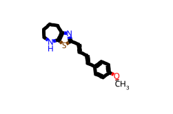 COc1ccc(C=CC=Cc2nc3c(s2)NCCCC3)cc1